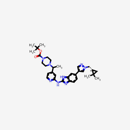 CC(c1ccnc(Nc2nc3ccc(-c4cnn(C[C@@H]5CC5(C)C)c4)cc3[nH]2)c1)N1CCN(C(=O)OC(C)(C)C)CC1